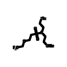 COCCN(CCC(C)(C)C)S(=O)(=O)CCOCC(F)(F)F